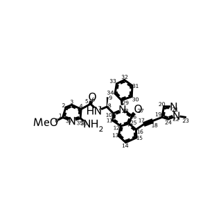 COc1ccc(C(=O)N[C@@H](C)c2cc3cccc(C#Cc4cnn(C)c4)c3c(=O)n2-c2ccccc2)c(N)n1